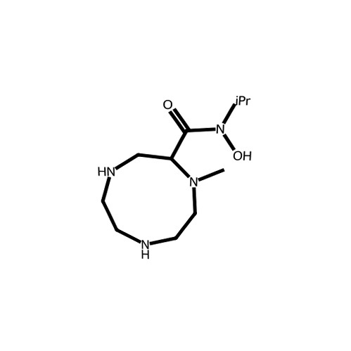 CC(C)N(O)C(=O)C1CNCCNCCN1C